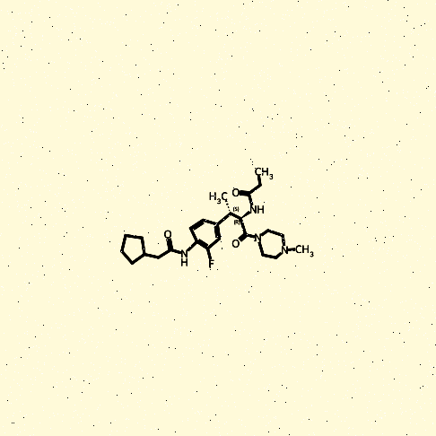 CCC(=O)N[C@@H](C(=O)N1CCN(C)CC1)[C@@H](C)c1ccc(NC(=O)CC2CCCC2)c(F)c1